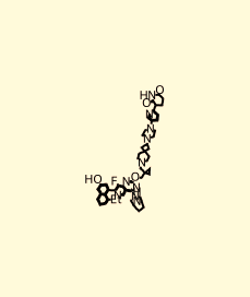 CCc1cccc2cc(O)cc(-c3ncc4c(N5CC6CCC(C5)N6)nc(OCC5(CN6CCC7(CC6)CC(N6CCN(c8ccc(C9CCC(=O)NC9=O)nc8)CC6)C7)CC5)nc4c3F)c12